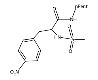 CCCCCNC(=O)C(Cc1ccc([N+](=O)[O-])cc1)NS(C)(=O)=O